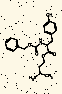 CC(C)CCOC(=O)[C@H](Cc1ccc(O)cc1)NC(=O)OCc1ccccc1